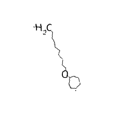 [CH2]CCCCCCCCCOC1CC[CH]CCC1